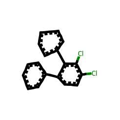 Clc1ccc(-c2ccccc2)c(-c2ccccc2)c1Cl